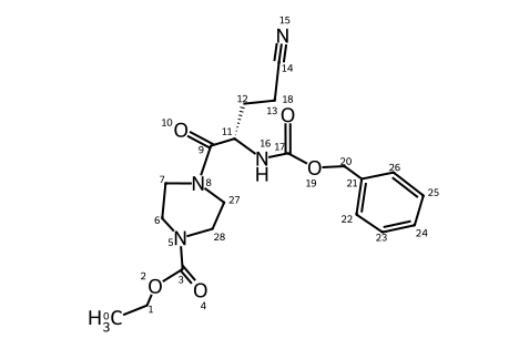 CCOC(=O)N1CCN(C(=O)[C@H](CCC#N)NC(=O)OCc2ccccc2)CC1